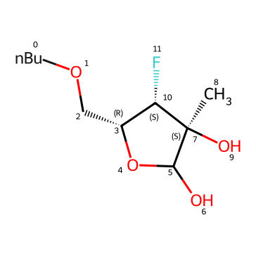 CCCCOC[C@H]1OC(O)[C@](C)(O)[C@H]1F